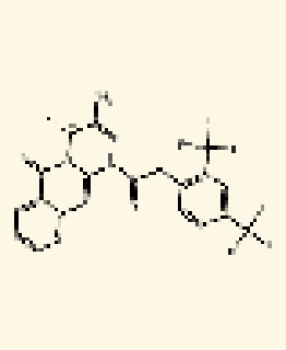 C[C@H](C(N)=O)n1c(NC(=O)Cc2ccc(C(F)(F)F)cc2C(F)(F)F)cc2ccccc2c1=O